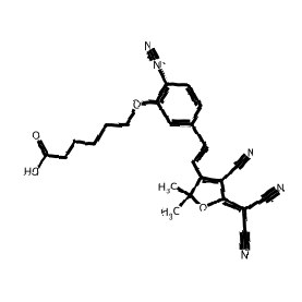 CC1(C)OC(=C(C#N)C#N)C(C#N)=C1C=Cc1ccc([N+]#N)c(OCCCCCC(=O)O)c1